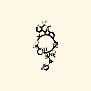 CCO[C@@H]1c2nc(cs2)-c2ccc3c(c2)c(c(-c2cccnc2[C@H](C)OC)n3CC)CC(C)(C)COC(=O)[C@@H]2CCCN(N2)C(=O)[C@H]1NC(=O)[C@H]1[C@H](C)[C@@H]1c1ccn(C)n1